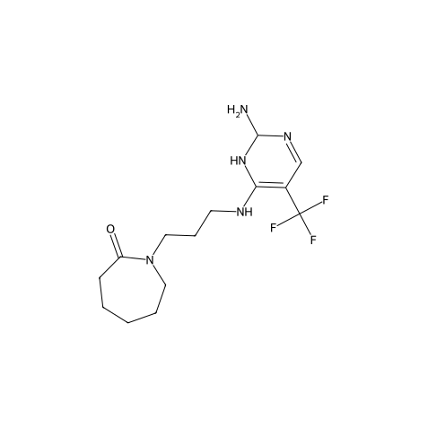 NC1N=CC(C(F)(F)F)=C(NCCCN2CCCCCC2=O)N1